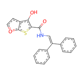 O=C(NC=C(c1ccccc1)c1ccccc1)c1sc2occc2c1O